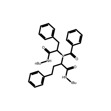 CCCCNC(=O)C(Cc1ccccc1)N(C(=O)c1ccccc1)C(CCc1ccccc1)C(=O)NC(C)(C)C